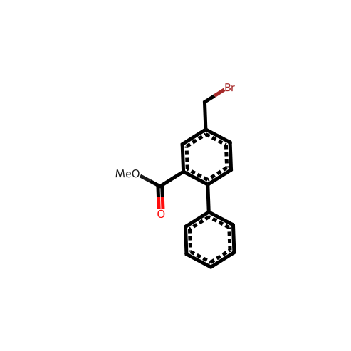 COC(=O)c1cc(CBr)ccc1-c1ccccc1